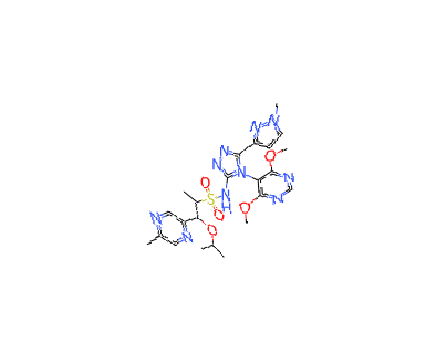 COc1ncnc(OC)c1-n1c(NS(=O)(=O)C(C)C(OC(C)C)c2cnc(C)cn2)nnc1-c1ccn(C)n1